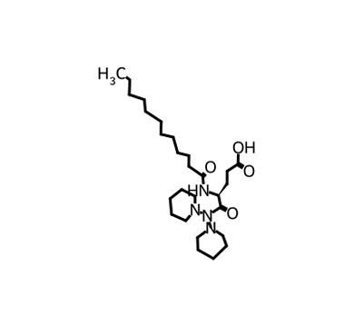 CCCCCCCCCCCC(=O)N[C@@H](CCC(=O)O)C(=O)N(N1CCCCC1)N1CCCCC1